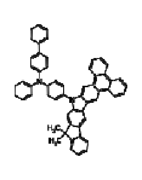 CC1(C)c2ccccc2-c2cc3c4cc5c6ccccc6c6ccccc6c5cc4n(-c4ccc(N(C5=CCCC=C5)c5ccc(-c6ccccc6)cc5)cc4)c3cc21